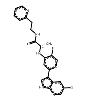 C[C@H](Nc1nc(-c2c[nH]c3ncc(Cl)cc23)ncc1F)C(=O)NCCc1ccccn1